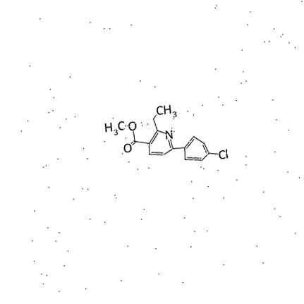 CCc1nc(-c2ccc(Cl)cc2)ccc1C(=O)OC